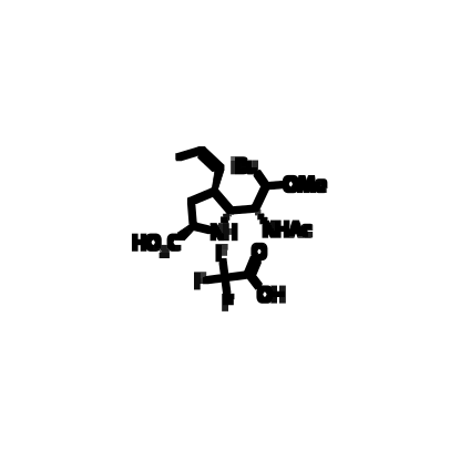 C/C=C\[C@@H]1C[C@H](C(=O)O)N[C@H]1[C@@H](NC(C)=O)C(OC)C(C)CC.O=C(O)C(F)(F)F